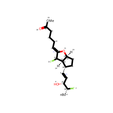 CCCC[C@@H](F)[C@H](O)/C=C/[C@H]1CC[C@@H]2O/C(=C\CCCC(=O)OC)C(F)[C@@H]21